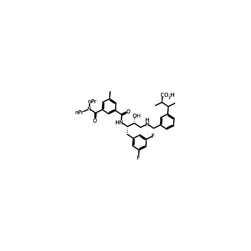 CCCN(CCC)C(=O)c1cc(C)cc(C(=O)N[C@@H](Cc2cc(F)cc(F)c2)[C@H](O)CNCc2cccc(C(C)[C@@H](C)C(=O)O)c2)c1